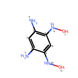 Nc1cc(N)c(NO)cc1NO